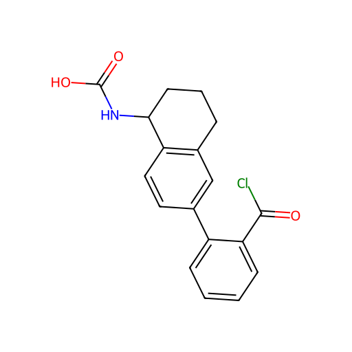 O=C(O)NC1CCCc2cc(-c3ccccc3C(=O)Cl)ccc21